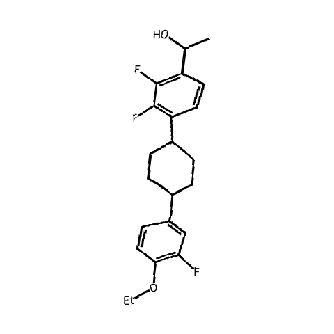 CCOc1ccc(C2CCC(c3ccc(C(C)O)c(F)c3F)CC2)cc1F